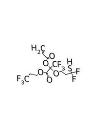 C=CC(=O)OC(OCCC(F)(F)S)(C(=O)OCCC(F)(F)F)C(F)(F)F